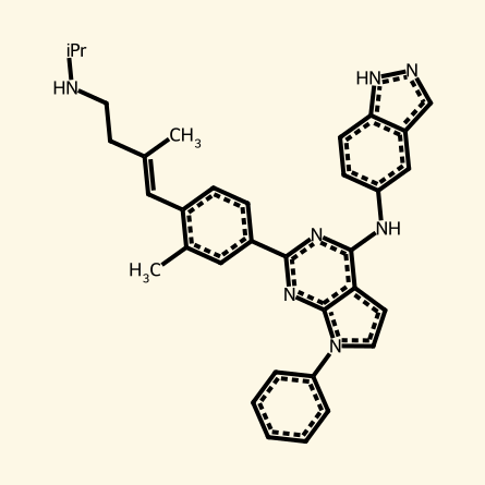 C/C(=C\c1ccc(-c2nc(Nc3ccc4[nH]ncc4c3)c3ccn(-c4ccccc4)c3n2)cc1C)CCNC(C)C